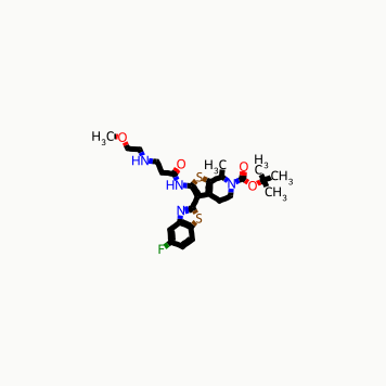 COCCNCCC(=O)Nc1sc2c(c1-c1nc3cc(F)ccc3s1)CCN(C(=O)OC(C)(C)C)C2C